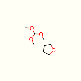 C1CCOC1.COC(OC)OC